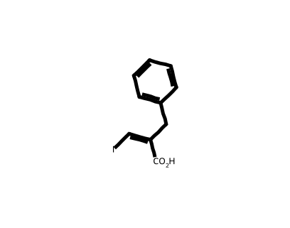 O=C(O)C(=CI)Cc1ccccc1